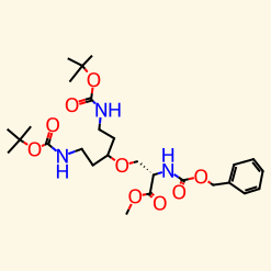 COC(=O)[C@H](COC(CCNC(=O)OC(C)(C)C)CCNC(=O)OC(C)(C)C)NC(=O)OCc1ccccc1